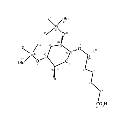 C[C@H](CCCCC(=O)O)O[C@@H]1O[C@@H](C)[C@H](O[Si](C)(C)C(C)(C)C)C[C@H]1O[Si](C)(C)C(C)(C)C